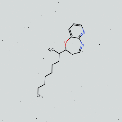 CCCCCCCC(C)C1CC=Nc2ncccc2O1